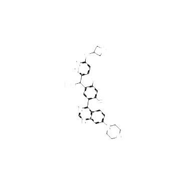 OC(c1ccc(OC2COC2)nn1)c1cc(-c2ncnc3cc(N4CCOCC4)ccc23)c(F)cc1Cl